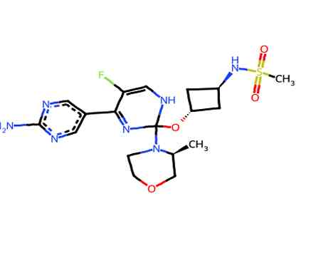 C[C@H]1COCCN1C1(O[C@H]2C[C@H](NS(C)(=O)=O)C2)N=C(c2cnc(N)nc2)C(F)=CN1